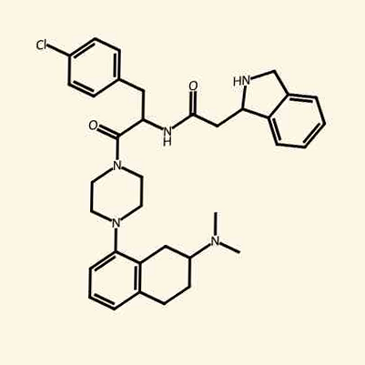 CN(C)C1CCc2cccc(N3CCN(C(=O)C(Cc4ccc(Cl)cc4)NC(=O)CC4NCc5ccccc54)CC3)c2C1